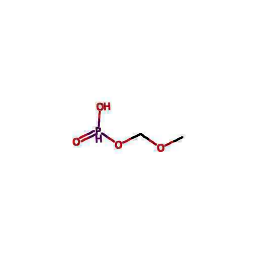 COCO[PH](=O)O